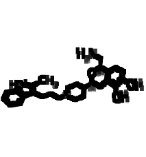 Cc1[nH]c2ccccc2c1CCCN1CCC([C@@H]2Cc3c(ccc(O)c3O)[C@H](CN)O2)CC1